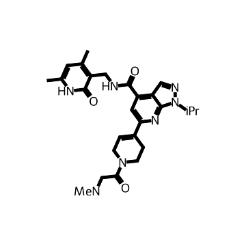 CNCC(=O)N1CC=C(c2cc(C(=O)NCc3c(C)cc(C)[nH]c3=O)c3cnn(C(C)C)c3n2)CC1